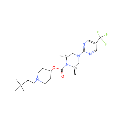 C[C@@H]1CN(c2ncc(C(F)(F)F)cn2)C[C@@H](C)N1C(=O)OC1CCN(CCC(C)(C)C)CC1